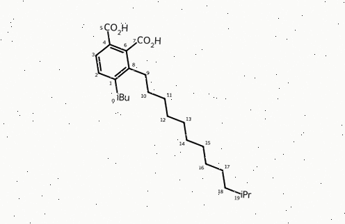 CCC(C)c1ccc(C(=O)O)c(C(=O)O)c1CCCCCCCCCCC(C)C